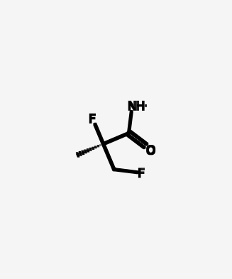 C[C@@](F)(CF)C([NH])=O